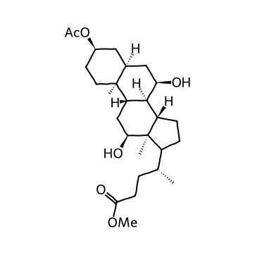 COC(=O)CC[C@@H](C)C1CC[C@H]2[C@@H]3[C@H](O)C[C@@H]4C[C@H](OC(C)=O)CC[C@]4(C)[C@H]3C[C@H](O)[C@]12C